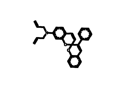 C=CCN(CC=C)c1ccc2c(c1)OC1(C=C2)Oc2ccccc2C=C1c1ccccc1